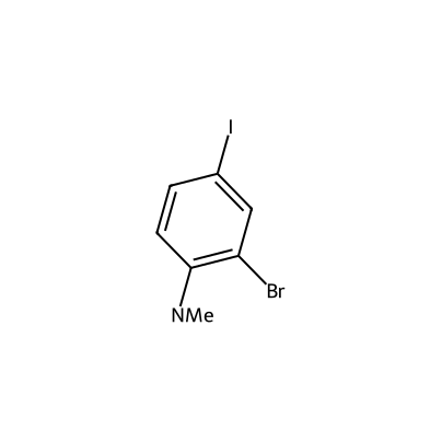 CNc1ccc(I)cc1Br